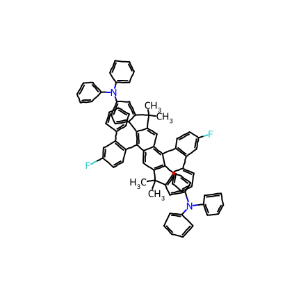 CC1(C)c2cc(N(c3ccccc3)c3ccccc3)ccc2-c2c1cc1c(-c3ccc(F)cc3-c3ccccc3)c3c(cc1c2-c1ccc(F)cc1-c1ccccc1)C(C)(C)c1cc(N(c2ccccc2)c2ccccc2)ccc1-3